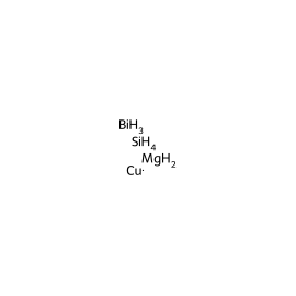 [BiH3].[Cu].[MgH2].[SiH4]